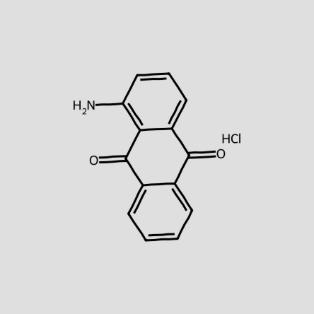 Cl.Nc1cccc2c1C(=O)c1ccccc1C2=O